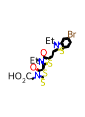 CCN1/C(=C/C=c2/s/c(=C3\SC(=S)N(CC(=O)O)C3=O)n(CC)c2=O)Sc2ccc(Br)cc21